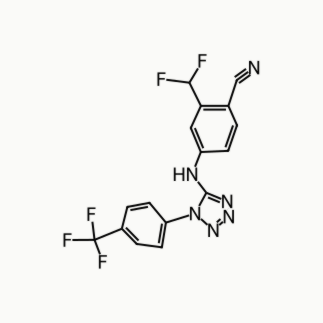 N#Cc1ccc(Nc2nnnn2-c2ccc(C(F)(F)F)cc2)cc1C(F)F